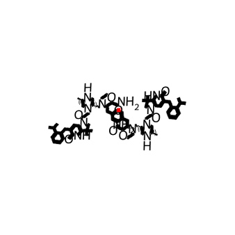 CC(C)c1ccccc1Cc1cc2c([nH]c1=O)C(C)(C)CN2C(=O)CN1C[C@@H](C)NC[C@@H]1CN1CCOC(C(N)=O)C1Cc1ccc(CC2C(C(N)=O)OCCN2C[C@H]2CN[C@H](C)CN2CC(=O)N2CC(C)(C)c3[nH]c(=O)c(Cc4ccccc4C(C)C)cc32)cc1